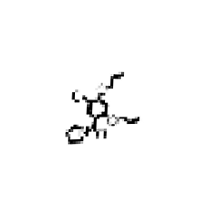 C=CCOc1cc(OCC=C)c(C(=O)N2CCCC2)cc1Cl